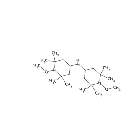 CON1C(C)(C)CC(NC2CC(C)(C)N(OC)C(C)(C)C2)CC1(C)C